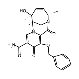 C[C@H]1C=C[C@](C)(O)[C@H]2CN1C(=O)c1c(OCc3ccccc3)c(=O)c(C(N)=O)cn12